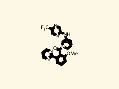 COc1cccc(-c2ncccn2)c1C(=O)N1CC2CCC1C(Nc1cnc(C(F)(F)F)cn1)C2